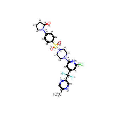 O=C(O)c1cnc(C(F)(F)c2cc(Cl)nc(N3CCN(S(=O)(=O)c4ccc(N5CCCC5=O)cc4)CC3)c2)cn1